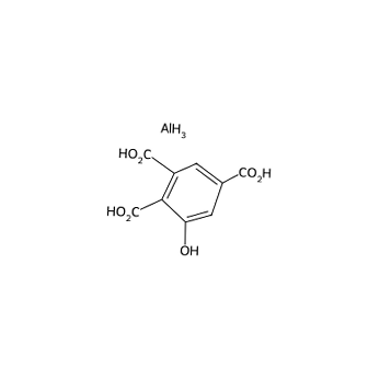 O=C(O)c1cc(O)c(C(=O)O)c(C(=O)O)c1.[AlH3]